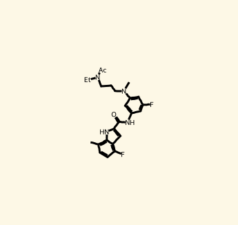 CCN(CCCN(C)c1cc(F)cc(NC(=O)c2cc3c(F)ccc(C)c3[nH]2)c1)C(C)=O